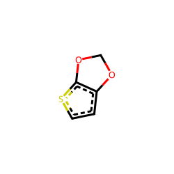 c1cc2c(s1)OCO2